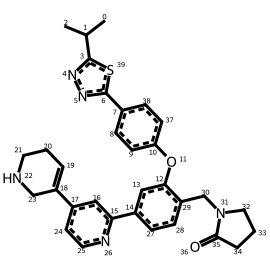 CC(C)c1nnc(-c2ccc(Oc3cc(-c4cc(C5=CCCNC5)ccn4)ccc3CN3CCCC3=O)cc2)s1